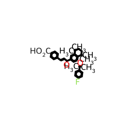 CC1(C)CCC(C)(C)c2c(OC(C)(C)c3ccc(F)cc3)cc(C(=O)C=Cc3ccc(C(=O)O)cc3)cc21